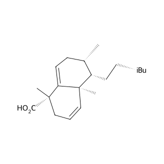 CC[C@@H](C)CC[C@H]1[C@@H](C)CC=C2[C@@](C)(C(=O)O)CC=C[C@@]21C